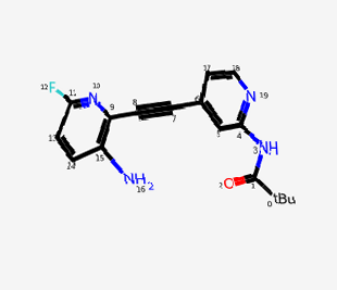 CC(C)(C)C(=O)Nc1cc(C#Cc2nc(F)ccc2N)ccn1